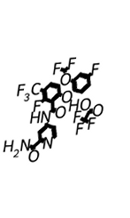 NC(=O)c1cc(NC(=O)c2c(Oc3ccc(F)cc3OC(F)F)ccc(C(F)(F)F)c2F)ccn1.O=C(O)C(F)(F)F